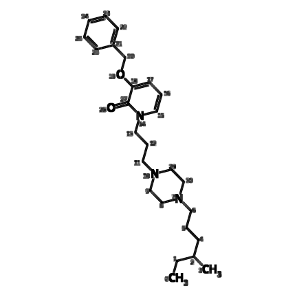 CCC(C)CCCN1CCN(CCCn2cccc(OCc3ccccc3)c2=O)CC1